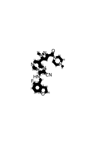 CN1CCN(C(=O)c2cc(-c3cncn4c(NCc5c(F)ccc6c5CCO6)c(C#N)nc34)n(C)n2)CC1